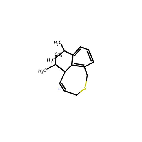 CC(C)c1cccc2c1C(C(C)C)/C=C\CSC2